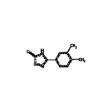 Cc1ccc(-c2noc(=O)[nH]2)cc1C